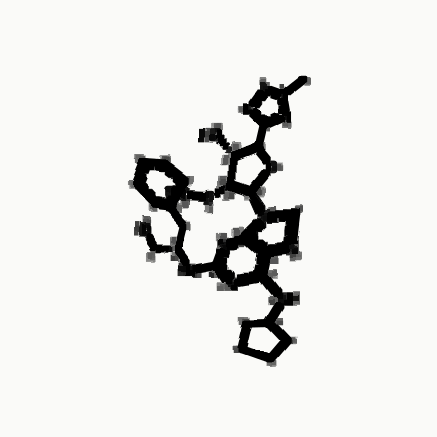 Cn1nnc(C2O[C@@H](n3cnc4c(NC5CCCC5)nc(N[C@H](CO)Cc5ccccc5)nc43)[C@H](OC=O)[C@@H]2O)n1